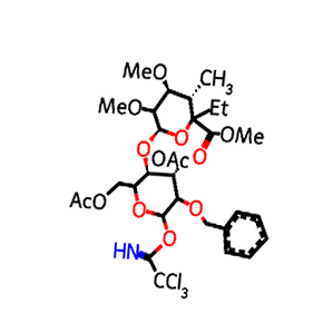 CCC1(C(=O)OC)O[C@@H](O[C@@H]2C(COC(C)=O)OC(OC(=N)C(Cl)(Cl)Cl)C(OCc3ccccc3)[C@H]2OC(C)=O)C(OC)[C@@H](OC)[C@@H]1C